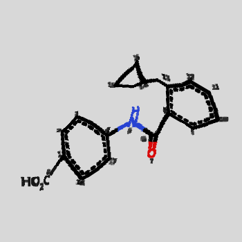 O=C(O)c1ccc(NC(=O)c2ccccc2C2CC2)cc1